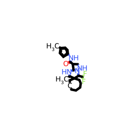 Cc1ccc(NC(=O)C2CNN3C2NC(C)C2(CCCCCCC2)C3C(F)F)cc1